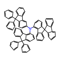 c1ccc(C2(c3ccccc3)c3ccccc3-c3cc(N(c4cccc5c4-c4ccccc4C5(c4ccccc4)c4ccccc4)c4cccc5c4-c4ccccc4C54c5ccccc5-c5ccccc54)ccc32)cc1